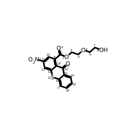 O=C(OCCOCCO)c1cc([N+](=O)[O-])cc2sc3ccccc3c(=O)c12